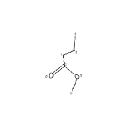 O=C(CCI)OI